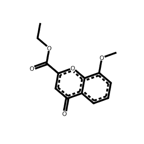 CCOC(=O)c1cc(=O)c2cccc(OC)c2o1